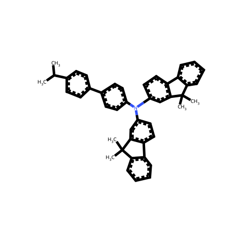 CC(C)c1ccc(-c2ccc(N(c3ccc4c(c3)C(C)(C)c3ccccc3-4)c3ccc4c(c3)C(C)(C)c3ccccc3-4)cc2)cc1